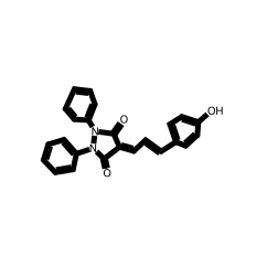 O=C1C(=CC=Cc2ccc(O)cc2)C(=O)N(c2ccccc2)N1c1ccccc1